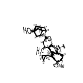 COc1ccc2[nH]cc(C(C)CC(=O)N3C4CC5CC3CC(O)(C5)C4)c2c1C1CC1